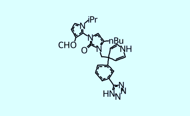 CCCCc1cn(-c2c(C=O)ccn2C(C)C)c(=O)n1CC1(c2cccc(-c3nnn[nH]3)c2)C=CNC=C1